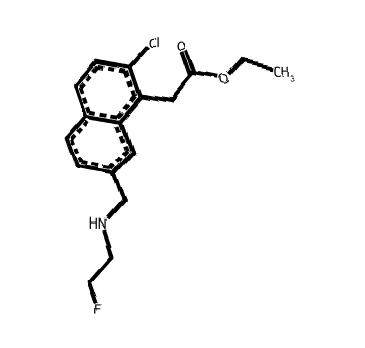 CCOC(=O)Cc1c(Cl)ccc2ccc(CNCCF)cc12